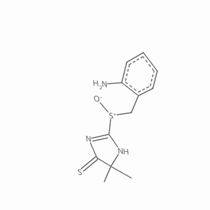 CC1(C)NC([S+]([O-])Cc2ccccc2N)=NC1=S